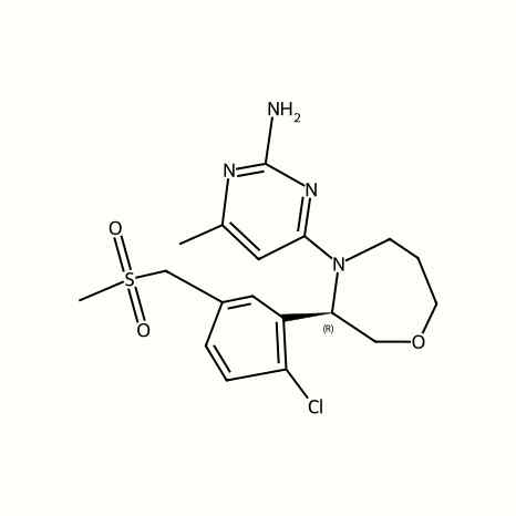 Cc1cc(N2CCCOC[C@H]2c2cc(CS(C)(=O)=O)ccc2Cl)nc(N)n1